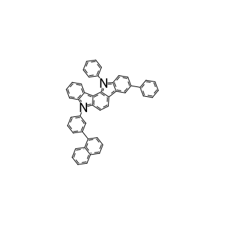 c1ccc(-c2ccc3c(c2)c2ccc4c(c5ccccc5n4-c4cccc(-c5cccc6ccccc56)c4)c2n3-c2ccccc2)cc1